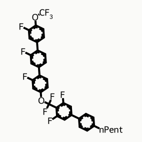 CCCCCc1ccc(-c2cc(F)c(C(F)(F)Oc3ccc(-c4ccc(-c5ccc(OC(F)(F)F)c(F)c5)c(F)c4)c(F)c3)c(F)c2)cc1